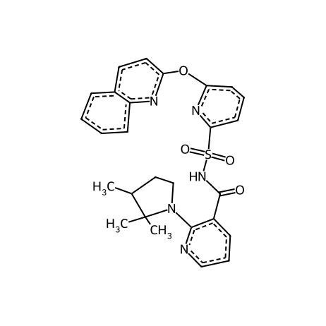 CC1CCN(c2ncccc2C(=O)NS(=O)(=O)c2cccc(Oc3ccc4ccccc4n3)n2)C1(C)C